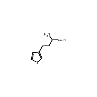 NC(CCc1ccsc1)C(=O)O